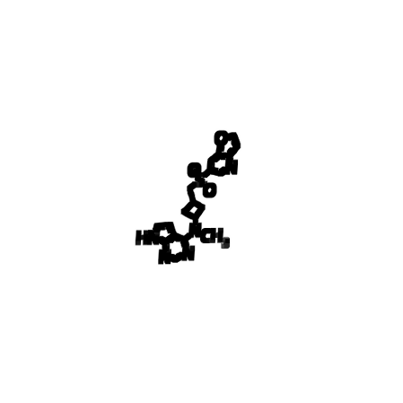 CN(c1ncnc2[nH]ccc12)C1CC(CS(=O)(=O)c2cnc3ccoc3c2)C1